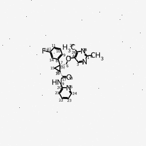 Cc1ncc(OC[C@@]2(c3cccc(F)c3)C[C@H]2C(=O)Nc2ccccn2)c(C)n1